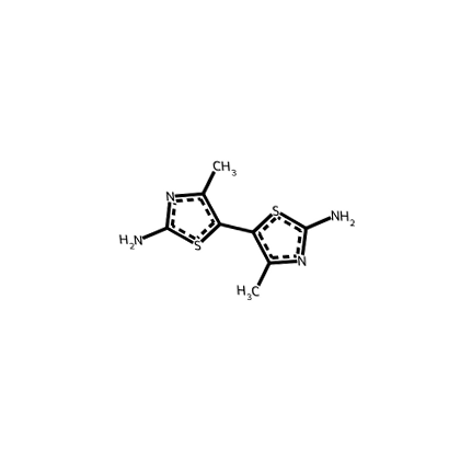 Cc1nc(N)sc1-c1sc(N)nc1C